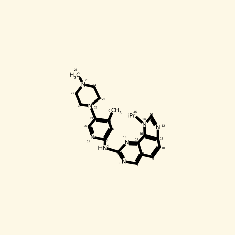 Cc1cc(Nc2ncc3ccc4ncn(C(C)C)c4c3n2)ncc1N1CCN(C)CC1